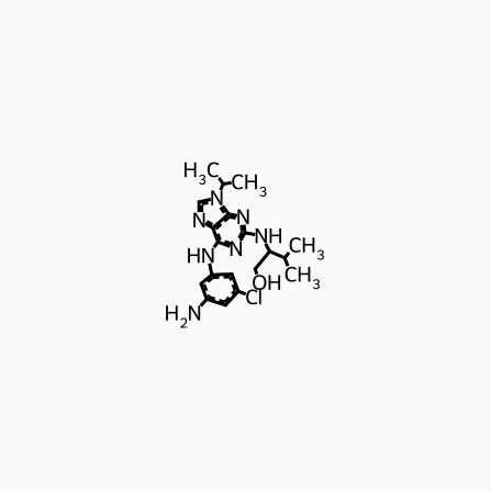 CC(C)C(CO)Nc1nc(Nc2cc(N)cc(Cl)c2)c2ncn(C(C)C)c2n1